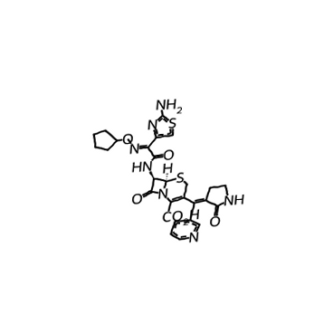 Nc1nc(C(=NOC2CCCC2)C(=O)N[C@@H]2C(=O)N3C(C(=O)O)=C(C(=C4CCNC4=O)c4cccnc4)CS[C@H]23)cs1